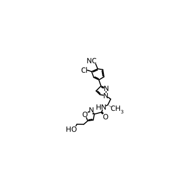 C[C@@H](Cn1ccc(-c2ccc(C#N)c(Cl)c2)n1)NC(=O)c1cc(CCO)on1